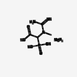 CN(C(=N)N)C(C(=O)O)P(=O)(O)O.[MgH2]